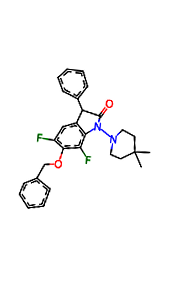 CC1(C)CCN(N2C(=O)C(c3ccccc3)c3cc(F)c(OCc4ccccc4)c(F)c32)CC1